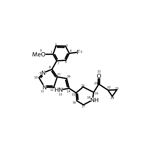 COc1ccc(F)cc1-c1ncnc2[nH]c(C3=CCNC(C(=O)C4CC4)C3)cc12